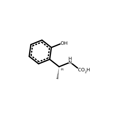 C[C@@H](NC(=O)O)c1ccccc1O